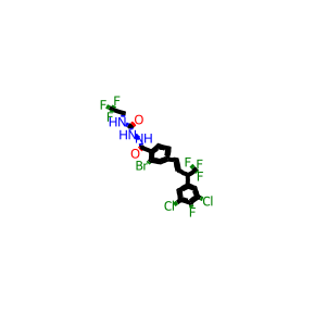 O=C(NCC(F)(F)F)NNC(=O)c1ccc(/C=C/C(c2cc(Cl)c(F)c(Cl)c2)C(F)(F)F)cc1Br